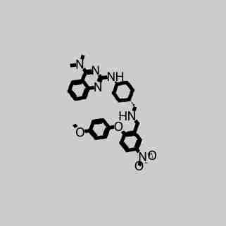 COc1ccc(Oc2ccc([N+](=O)[O-])cc2CNC[C@H]2CC[C@@H](Nc3nc(N(C)C)c4ccccc4n3)CC2)cc1